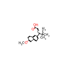 COc1ccc2cc(C(=C=CC(=O)O)C(C)(C)C)ccc2c1